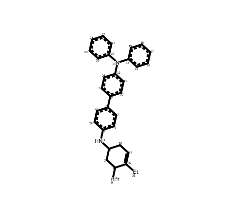 CCCC1CC(Nc2ccc(-c3ccc(N(c4ccccc4)c4ccccc4)cc3)cc2)CC=C1CC